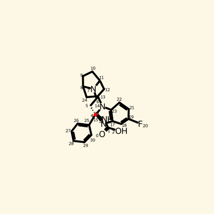 O=C(O)N[C@@H](CCN1C2CCC1CC(n1cnc3cc(F)ccc31)C2)c1ccccc1